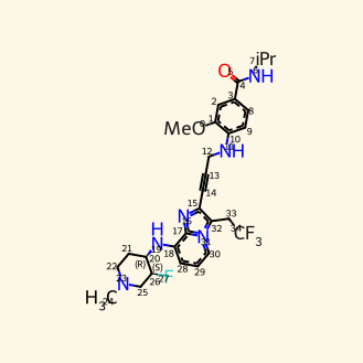 COc1cc(C(=O)NC(C)C)ccc1NCC#Cc1nc2c(N[C@@H]3CCN(C)C[C@@H]3F)cccn2c1CC(F)(F)F